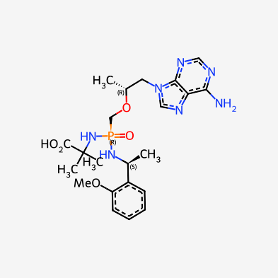 COc1ccccc1[C@H](C)N[P@](=O)(CO[C@H](C)Cn1cnc2c(N)ncnc21)NC(C)(C)C(=O)O